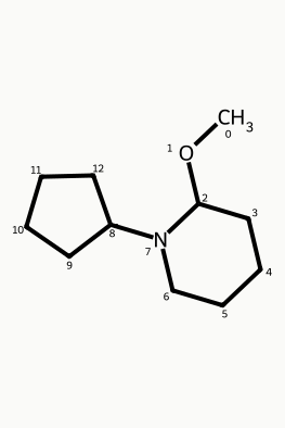 COC1CCCCN1[C]1CCCC1